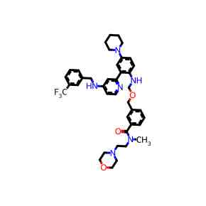 CN(CCN1CCOCC1)C(=O)c1cccc(COCNc2ccc(N3CCCCC3)cc2-c2cc(NCc3cccc(C(F)(F)F)c3)ccn2)c1